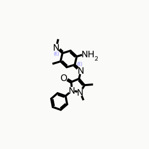 C/N=C1C=C(N)/C(=N/c2c(C)n(C)n(-c3ccccc3)c2=O)C=C\1C